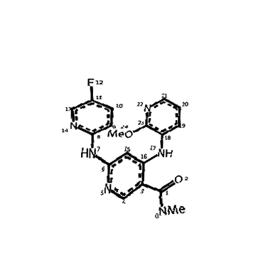 CNC(=O)c1cnc(Nc2ccc(F)cn2)cc1Nc1cccnc1OC